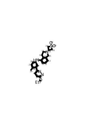 CCOc1ccc(-c2cc(Nc3cccc4c3CCN(C3CS(=O)(=O)C3)C4)ccc2C)nn1